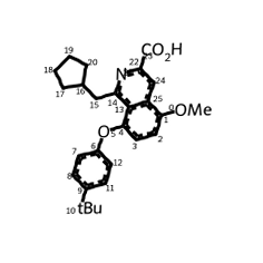 COc1ccc(Oc2ccc(C(C)(C)C)cc2)c2c(CC3CCCC3)nc(C(=O)O)cc12